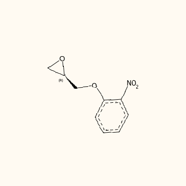 O=[N+]([O-])c1ccccc1OC[C@H]1CO1